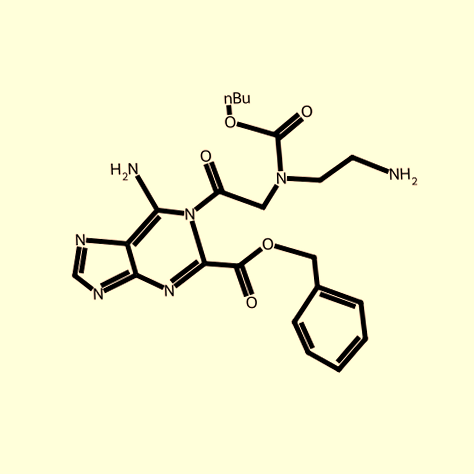 CCCCOC(=O)N(CCN)CC(=O)n1c(C(=O)OCc2ccccc2)nc2ncnc-2c1N